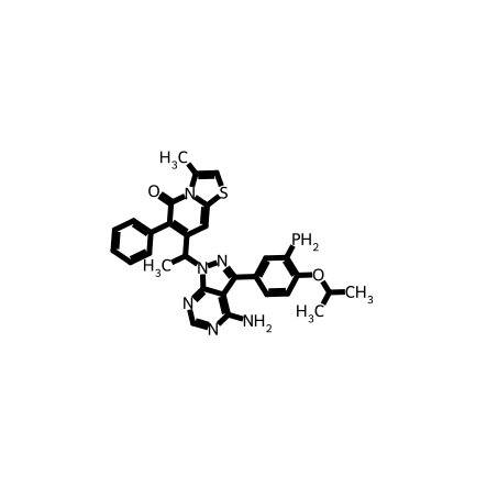 Cc1csc2cc(C(C)n3nc(-c4ccc(OC(C)C)c(P)c4)c4c(N)ncnc43)c(-c3ccccc3)c(=O)n12